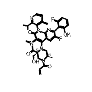 C=CC(=O)N1C[C@]2(CO)C(=O)N(C)c3c(c4cc(F)c(-c5c(O)cccc5F)nc4n(-c4c(C)ccnc4C(C)C)c3=O)N2C[C@H]1C